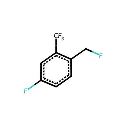 FCc1ccc(F)cc1C(F)(F)F